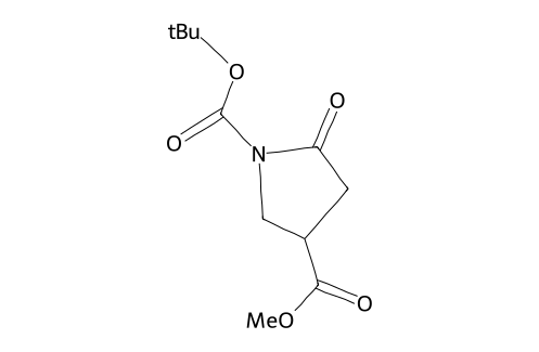 COC(=O)C1CC(=O)N(C(=O)OC(C)(C)C)C1